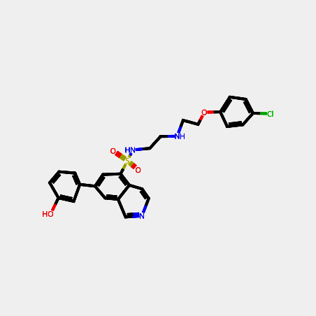 O=S(=O)(NCCNCCOc1ccc(Cl)cc1)c1cc(-c2cccc(O)c2)cc2cnccc12